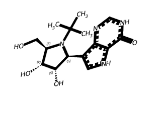 CC(C)(C)N1[C@H](CO)[C@@H](O)[C@@H](O)[C@@H]1c1c[nH]c2c(=O)[nH]cnc12